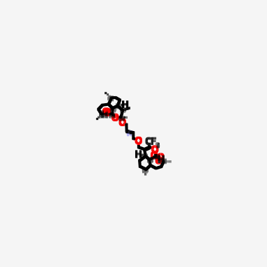 C[C@@H]1CC[C@H]2C(COC/C=C/CO[C@@]3(C)O[C@@H]4O[C@]5(C)CCC6[C@H](C)CC[C@@H]([C@H]3C)[C@]64OO5)=C(C(F)(F)F)O[C@@H]3O[C@]4(C)CCC1[C@]32OO4